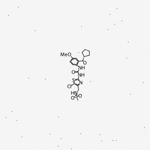 COc1ccc(NC(=O)Nc2nc(CNS(C)(=O)=O)c(Cl)s2)c(C(=O)C2CCCC2)c1